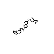 O=C(N[C@@H]1CCS(O)(O)C1)c1ccc2cc(Oc3ccc(C(F)(F)F)cn3)ccc2n1